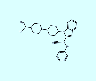 CC(C)C1CCC(N2CCC(n3c(C(C#N)Nc4ccccc4)cc4ccccc43)CC2)CC1